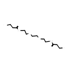 CC(=O)CCC(=O)NCCOCCOCCNC(=O)CCC(C)=O